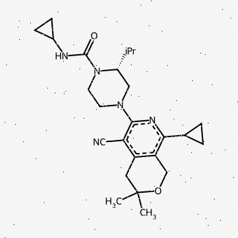 CC(C)[C@@H]1CN(c2nc(C3CC3)c3c(c2C#N)CC(C)(C)OC3)CCN1C(=O)NC1CC1